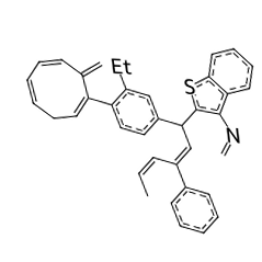 C=Nc1c(C(/C=C(\C=C/C)c2ccccc2)c2ccc(/C3=C/C/C=C\C=C/C3=C)c(CC)c2)sc2ccccc12